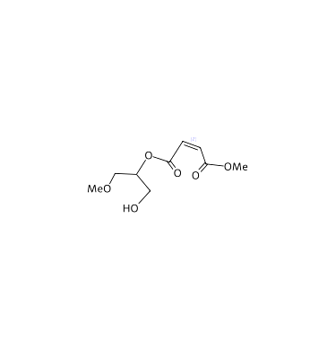 COCC(CO)OC(=O)/C=C\C(=O)OC